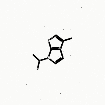 Cc1csc2c1ccn2C(C)C